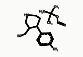 CC(C)(C)OC=O.Cc1ccc(C2CCNCC2CO)cc1